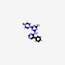 CCc1nc(Nc2ncncc2-c2ccccc2)nc(N2CCN(C)CC2)n1